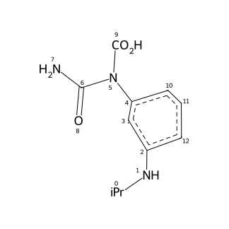 CC(C)Nc1[c]c(N(C(N)=O)C(=O)O)ccc1